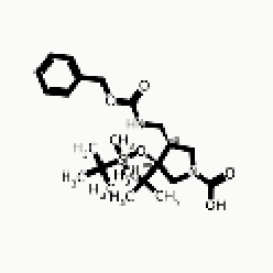 CC(C)(C)[C@@]1(O[Si](C)(C)C(C)(C)C)CN(C(=O)O)C[C@@H]1CNC(=O)OCc1ccccc1